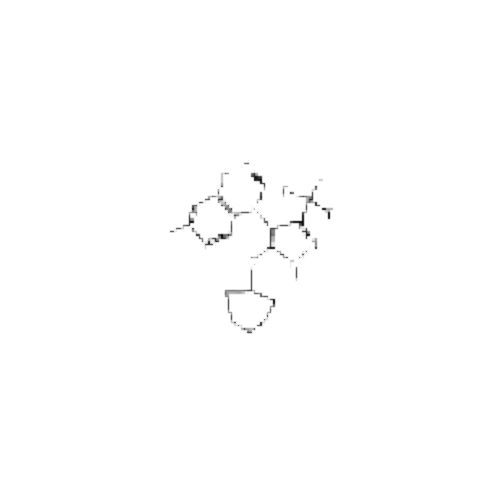 Cn1nc(C(F)(F)F)c(N(C=O)c2ccc(F)cc2F)c1SC1CCCCC1